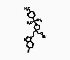 CCOCC1(CCn2cnc3cc(F)ccc32)CCN(C(C)(C)c2ccc(C)nc2)C1